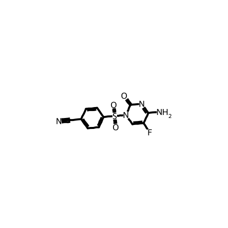 N#Cc1ccc(S(=O)(=O)n2cc(F)c(N)nc2=O)cc1